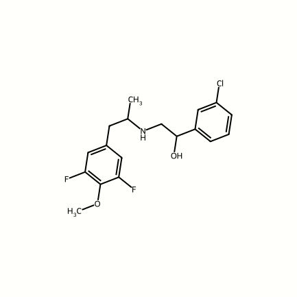 COc1c(F)cc(CC(C)NCC(O)c2cccc(Cl)c2)cc1F